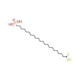 O=P(O)(O)CCCCCCCCCCCCCCCCCCCCCC(=S)S